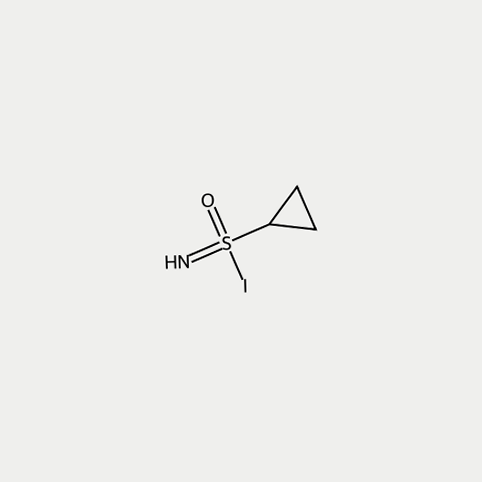 N=S(=O)(I)C1CC1